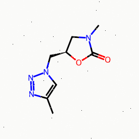 Cc1cn(C[C@H]2CN(C)C(=O)O2)nn1